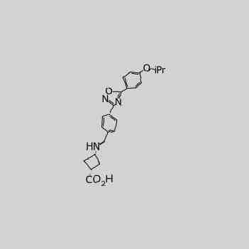 CC(C)Oc1ccc(-c2nc(-c3ccc(CN[C@H]4C[C@@H](C(=O)O)C4)cc3)no2)cc1